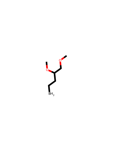 BCCC(COC)OC